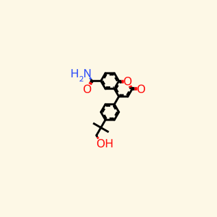 CC(C)(CO)c1ccc(-c2cc(=O)oc3ccc(C(N)=O)cc23)cc1